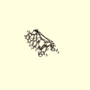 COc1ccc(C2C3c4cc5c6c7c4c4c8c9c%10c%11c%12c%13c%14c%15c(cc%16c%17c(c(c%12c%15%17)c7c4%11)C6C(C=5)C%16)CC%14=CC(CC9CC83CN2C)C%13%10)cc1